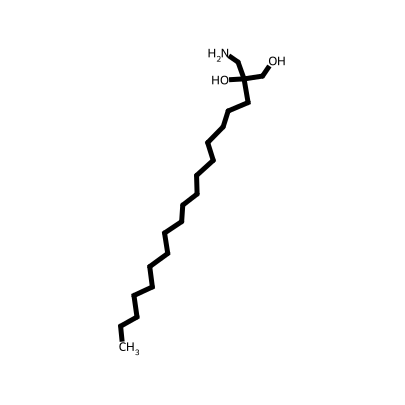 CCCCCCCCCCCCCCCCCC(O)(CN)CO